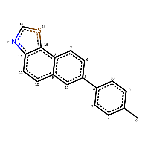 Cc1ccc(-c2ccc3c(ccc4ncsc43)c2)cc1